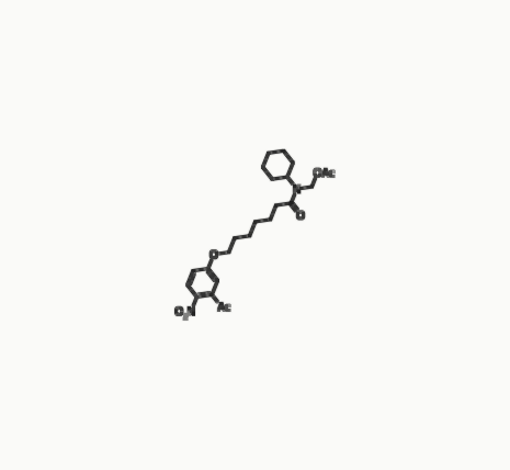 CC(=O)OCN(C(=O)CCCCCCOc1ccc([N+](=O)[O-])c(C(C)=O)c1)C1CCCCC1